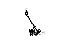 C[C@H](Cn1cnc2c(N)ncnc21)OCP(=O)(O)OCCCOCCCCCCCCCCCCc1ccc(F)cc1